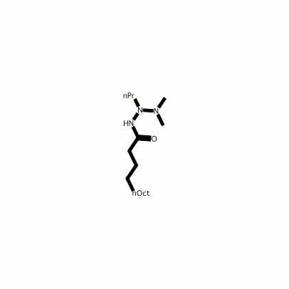 CCCCCCCCCCCC(=O)NN(CCC)N(C)C